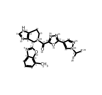 Cc1cccc2nc([C@@H]3c4nc[nH]c4CCN3C(=O)c3nnc(-c4cnn(C(F)F)c4)o3)oc12